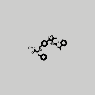 COC(=O)[C@@H](Cc1ccccc1)NCc1ccc(-c2onc(C)c2NC(=O)OC(C)c2ccccc2)cc1